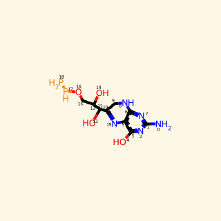 Nc1nc(O)c2c(n1)NCC(C(O)C(O)COPP)=N2